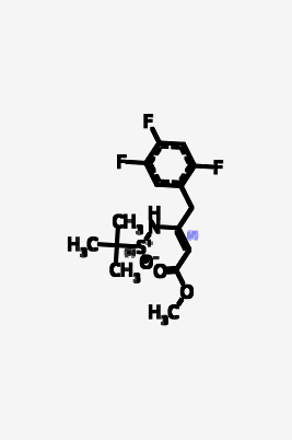 COC(=O)/C=C(/Cc1cc(F)c(F)cc1F)N[S@@+]([O-])C(C)(C)C